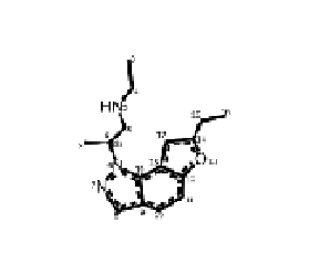 CCNC[C@H](C)n1ncc2ccc3oc(CC)cc3c21